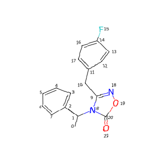 CC(c1ccccc1)n1c(Cc2ccc(F)cc2)noc1=O